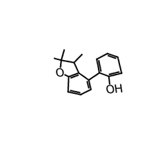 CC1c2c(cccc2-c2ccccc2O)OC1(C)C